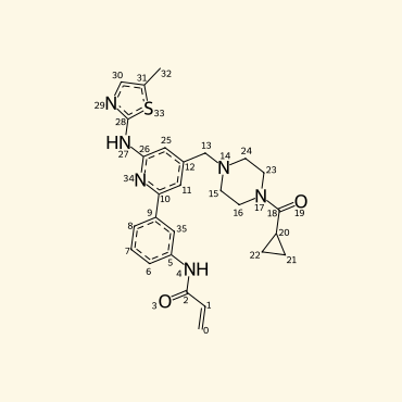 C=CC(=O)Nc1cccc(-c2cc(CN3CCN(C(=O)C4CC4)CC3)cc(Nc3ncc(C)s3)n2)c1